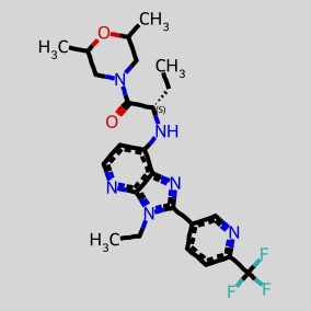 CC[C@H](Nc1ccnc2c1nc(-c1ccc(C(F)(F)F)nc1)n2CC)C(=O)N1CC(C)OC(C)C1